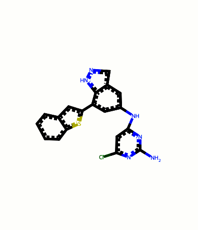 Nc1nc(Cl)cc(Nc2cc(-c3cc4ccccc4s3)c3[nH]ncc3c2)n1